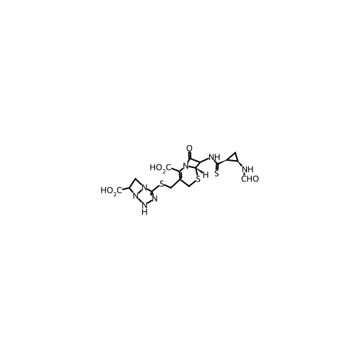 O=CN[C@@H]1C[C@@H]1C(=S)NC1C(=O)N2C(C(=O)O)=C(CSC3=NNN4C(C(=O)O)CN34)CS[C@@H]12